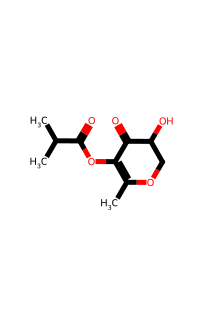 CC1=C(OC(=O)C(C)C)C(=O)C(O)CO1